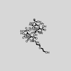 CCCN(C(P(=O)(O)O)P(=O)(O)O)C(P(=O)(O)O)P(=O)(O)O.CCCN(C(P(=O)(O)O)P(=O)(O)O)C(P(=O)(O)O)P(=O)(O)O.NCCOCCO